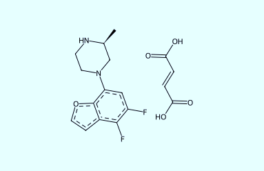 C[C@H]1CN(c2cc(F)c(F)c3ccoc23)CCN1.O=C(O)/C=C/C(=O)O